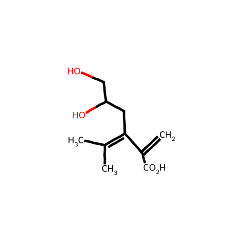 C=C(C(=O)O)C(CC(O)CO)=C(C)C